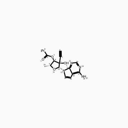 C#C[C@@]1(O)[C@H](OC(=O)C(C)C)[C@@H](C)O[C@H]1n1ccc2c(N)ncnc21